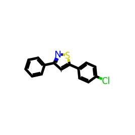 Clc1ccc(-c2[c]c(-c3ccccc3)ns2)cc1